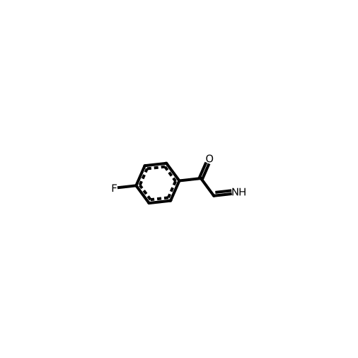 N=CC(=O)c1ccc(F)cc1